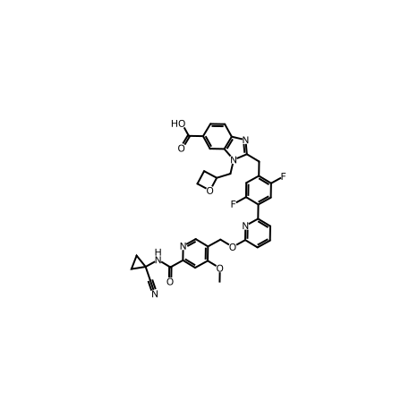 COc1cc(C(=O)NC2(C#N)CC2)ncc1COc1cccc(-c2cc(F)c(Cc3nc4ccc(C(=O)O)cc4n3CC3CCO3)cc2F)n1